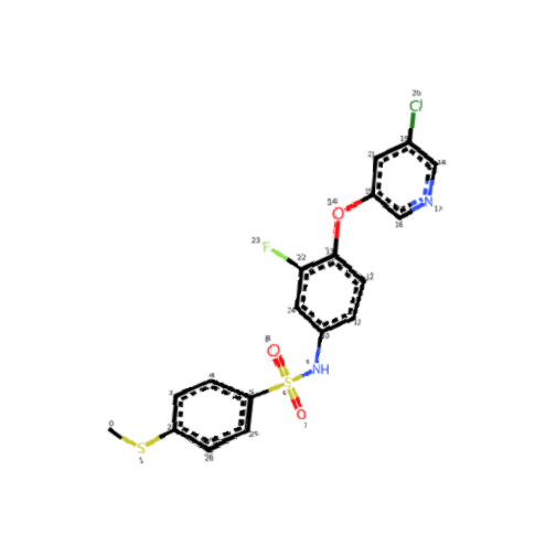 CSc1ccc(S(=O)(=O)Nc2ccc(Oc3cncc(Cl)c3)c(F)c2)cc1